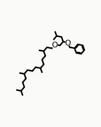 CC(C)CCCC(C)CCCC(C)CCCC(C)CCOCC(CC(C)C)OCc1ccccc1